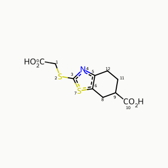 O=C(O)CSc1nc2c(s1)CC(C(=O)O)CC2